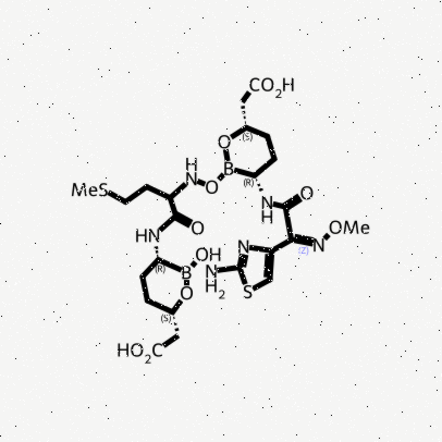 CO/N=C(\C(=O)N[C@H]1CC[C@@H](CC(=O)O)OB1ONC(CCSC)C(=O)N[C@H]1CC[C@@H](CC(=O)O)OB1O)c1csc(N)n1